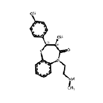 CNCCN1C(=O)[C@H](O)[C@H](c2ccc(O)cc2)Sc2ccccc21